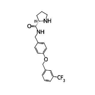 O=C(NCc1ccc(OCc2cccc(C(F)(F)F)c2)cc1)[C@@H]1CCCN1